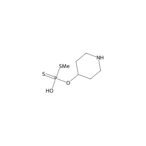 CSP(O)(=S)OC1CCNCC1